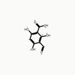 O=Cc1c(O)cc(O)c(C(=O)O)c1O